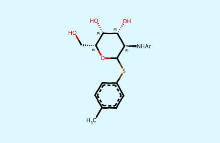 CC(=O)N[C@H]1C(Sc2ccc(C)cc2)O[C@H](CO)[C@H](O)[C@@H]1O